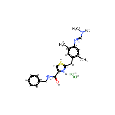 CCN(C)/C=N/c1cc(C)c(Cc2nc(C(=O)NCc3ccccc3)cs2)cc1C.Cl.Cl